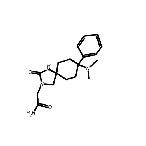 CN(C)C1(c2ccccc2)CCC2(CC1)CN(CC(N)=O)C(=O)N2